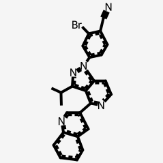 CC(C)c1nn(-c2ccc(C#N)c(Br)c2)c2ccnc(-c3cnc4ccccc4c3)c12